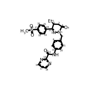 CCC1CC(=O)N(Cc2ccc(NC(=O)c3ncccn3)cc2)N=C1c1ccc(S(C)(=O)=O)cc1